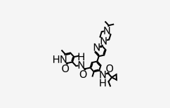 CCC1(C(=O)Nc2cc(-c3ccc(N4CCN(C(C)C)CC4)nc3)cc(C(=O)NCc3c(C)cc(C)[nH]c3=O)c2C)CC1